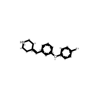 Fc1ccc(Oc2cccc(C=C3CCNCC3)c2)cc1